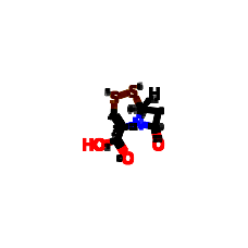 O=C(O)C1=CSS[C@@H]2CC(=O)N12